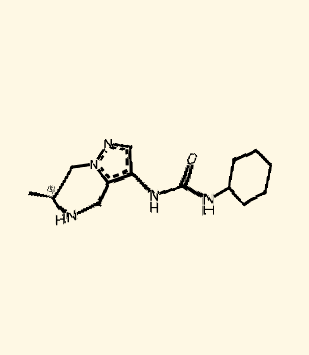 C[C@H]1Cn2ncc(NC(=O)NC3CCCCC3)c2CN1